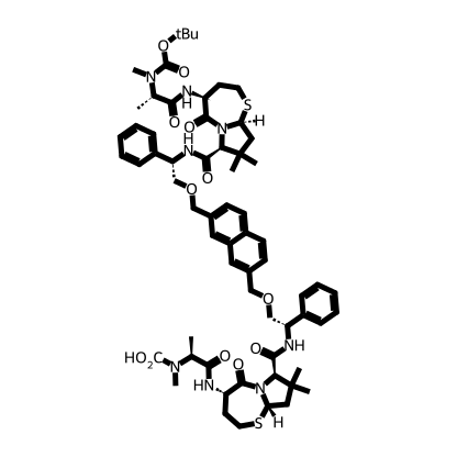 C[C@@H](C(=O)N[C@H]1CCS[C@H]2CC(C)(C)[C@H](C(=O)N[C@H](COCc3ccc4ccc(COC[C@@H](NC(=O)[C@H]5N6C(=O)[C@@H](NC(=O)[C@H](C)N(C)C(=O)OC(C)(C)C)CCS[C@H]6CC5(C)C)c5ccccc5)cc4c3)c3ccccc3)N2C1=O)N(C)C(=O)O